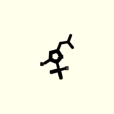 CC(C)Cc1cc(Br)c(S(=O)(=O)Cl)s1